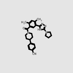 Cc1cc(C)c(-c2nnc(N3CCCC3)[nH]2)cc1C(=O)N1CCC(c2ccc(C#N)cc2)CC1